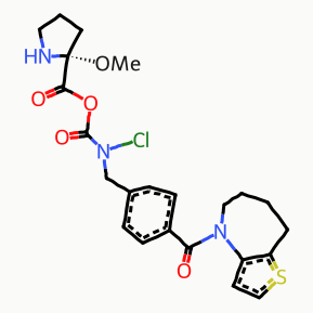 CO[C@@]1(C(=O)OC(=O)N(Cl)Cc2ccc(C(=O)N3CCCCc4sccc43)cc2)CCCN1